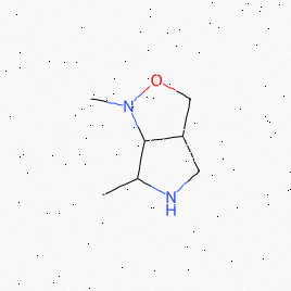 CC1NCC2CON(C)C21